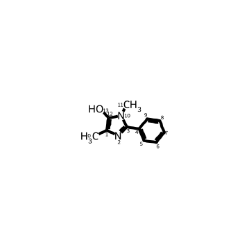 Cc1nc(-c2ccccc2)n(C)c1O